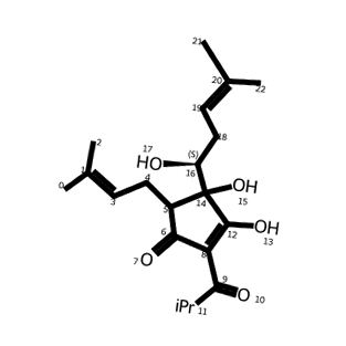 CC(C)=CCC1C(=O)C(C(=O)C(C)C)=C(O)C1(O)[C@@H](O)CC=C(C)C